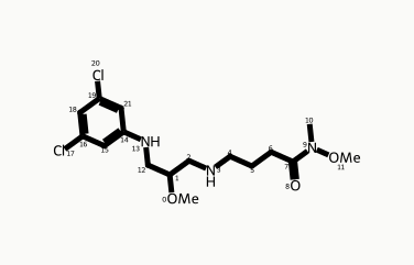 COC(CNCCCC(=O)N(C)OC)CNc1cc(Cl)cc(Cl)c1